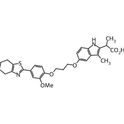 COc1cc(-c2nc3c(s2)CCCC3)ccc1OCCCOc1ccc2[nH]c(C(C)C(=O)O)c(C)c2c1